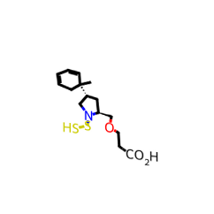 CC1([C@@H]2C[C@@H](COCCC(=O)O)N(SS)C2)C=CC=CC1